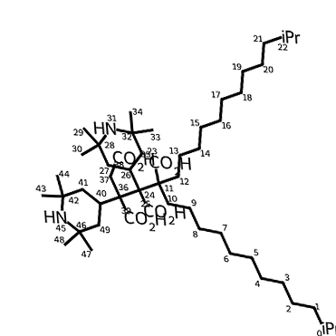 CC(C)CCCCCCCCCCC(CCCCCCCCCCC(C)C)(C(=O)O)C(C(=O)O)(C1CC(C)(C)NC(C)(C)C1)C(CC(=O)O)(C(=O)O)C1CC(C)(C)NC(C)(C)C1